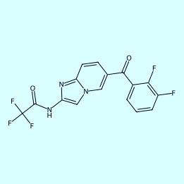 O=C(c1ccc2nc(NC(=O)C(F)(F)F)cn2c1)c1cccc(F)c1F